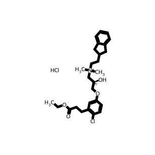 CCOC(=O)CCc1cc(OC[C@H](O)C[N+](C)(C)CCC2Cc3ccccc3C2)ccc1Cl.Cl